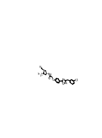 C[C@@H]1C[C@@H](NC(=O)COc2ccc(-c3nc(Cc4cccc(Cl)c4)no3)cc2)CN1C#N